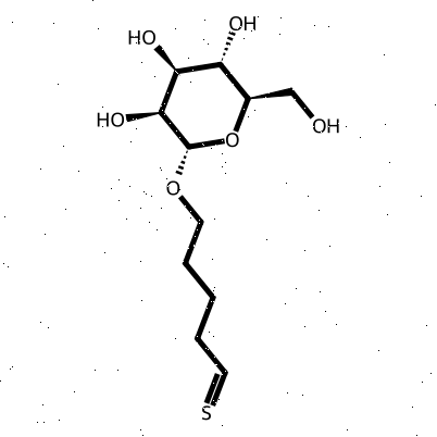 OC[C@H]1O[C@H](OCCCCC=S)[C@@H](O)[C@@H](O)[C@@H]1O